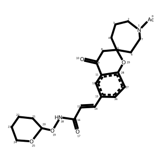 CC(=O)N1CCCC2(CC1)CC(=O)c1cc(C=CC(=O)NOC3CCCCO3)ccc1O2